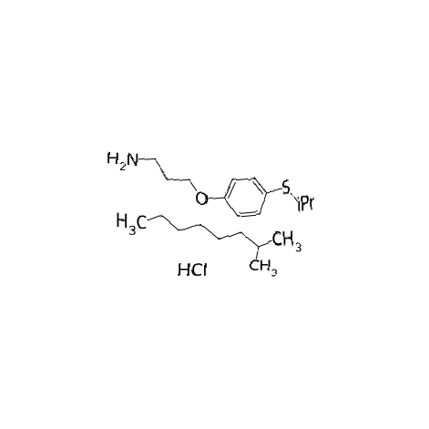 CC(C)Sc1ccc(OCCCN)cc1.CCCCCCC(C)C.Cl